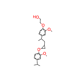 COc1cc(C(C)CC2CC2Oc2ccc(C(C)C)cc2OC)ccc1OCCO